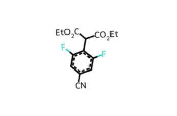 CCOC(=O)C(C(=O)OCC)c1c(F)cc(C#N)cc1F